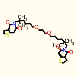 CC(C)(CCCCOCCCOCCCCC(C)(C)CN1C(=O)CC2SCCC2C1=O)CN1C(=O)C=C2SCCC2C1=O